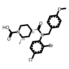 COc1ccc(CN(C(=O)[C@H]2CCN(C(=O)O)[C@@H](C)C2)c2ccc(Cl)cc2Br)cc1